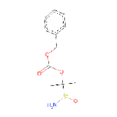 CC(C)(OC(=O)OCc1ccccc1)[S+](N)[O-]